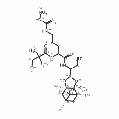 CC(C)C[C@H](NC(=O)[C@H](CCCNC(=N)N[N+](=O)[O-])NC(=O)C(C)(C)CO)B1O[C@@H]2C[C@@H]3C[C@@H](C3(C)C)[C@]2(C)O1